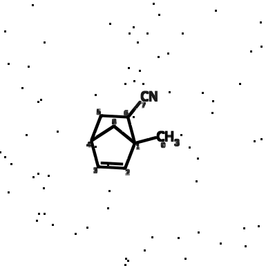 CC12C=CC(CC1C#N)C2